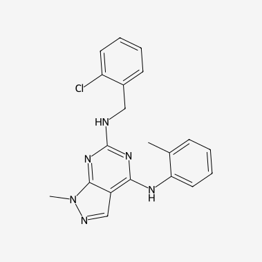 Cc1ccccc1Nc1nc(NCc2ccccc2Cl)nc2c1cnn2C